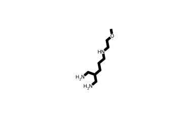 COCCNCCCC(CN)CN